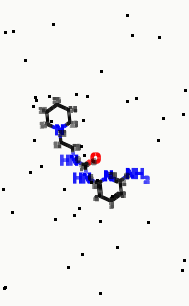 Nc1cccc(NC(=O)NCCN2CCCCC2)n1